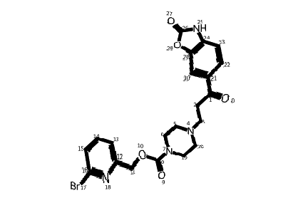 O=C(CCN1CCN(C(=O)OCc2cccc(Br)n2)CC1)c1ccc2[nH]c(=O)oc2c1